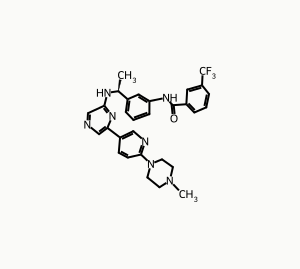 C[C@H](Nc1cncc(-c2ccc(N3CCN(C)CC3)nc2)n1)c1cccc(NC(=O)c2cccc(C(F)(F)F)c2)c1